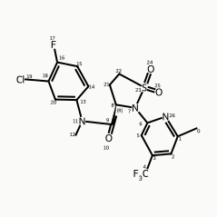 Cc1cc(C(F)(F)F)cc(N2[C@@H](C(=O)N(C)c3ccc(F)c(Cl)c3)CCS2(=O)=O)n1